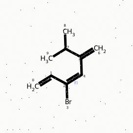 C=C/C(Br)=C\C(=C)C(C)C